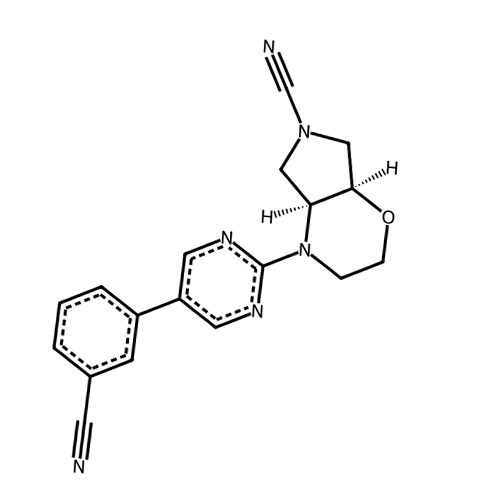 N#Cc1cccc(-c2cnc(N3CCO[C@@H]4CN(C#N)C[C@@H]43)nc2)c1